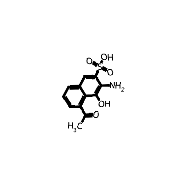 CC(=O)c1cccc2cc(S(=O)(=O)O)c(N)c(O)c12